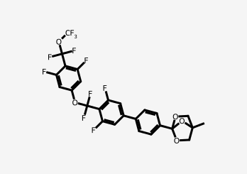 CC12COC(c3ccc(-c4cc(F)c(C(F)(F)Oc5cc(F)c(C(F)(F)OC(F)(F)F)c(F)c5)c(F)c4)cc3)(OC1)O2